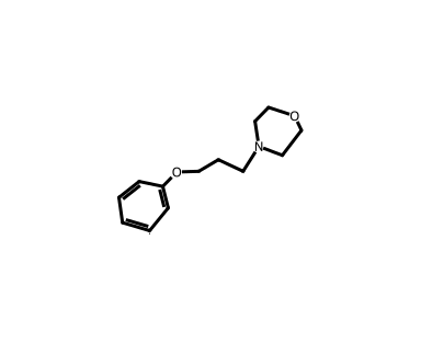 [c]1cccc(OCCCN2CCOCC2)c1